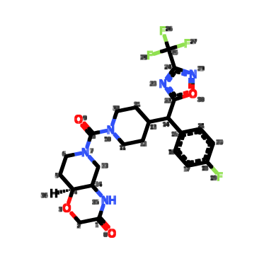 O=C1CO[C@H]2CCN(C(=O)N3CCC(C(c4ccc(F)cc4)c4nc(C(F)(F)F)no4)CC3)CC2N1